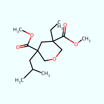 CCC1(C(=O)OC)COCC(CC(C)C)(C(=O)OC)C1